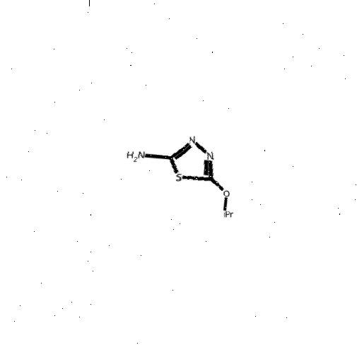 CC(C)Oc1nnc(N)s1